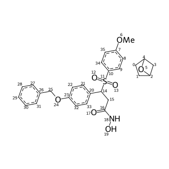 C1CC2CC1O2.COc1ccc(S(=O)(=O)C(CC(=O)NO)c2ccc(OCc3ccccc3)cc2)cc1